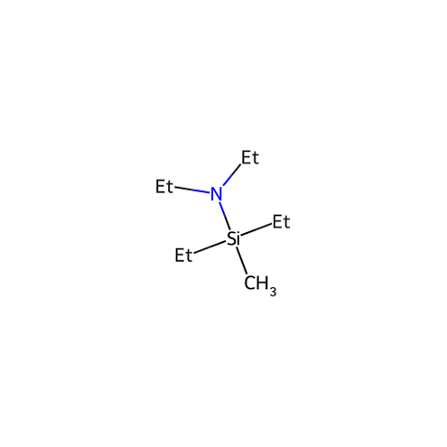 CCN(CC)[Si](C)(CC)CC